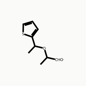 CC([C]=O)OC(C)c1cccs1